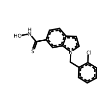 ONC(=S)c1ccc2ccn(Cc3ccccc3Cl)c2c1